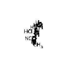 Cl.Cn1cc2cc(-c3cc4sc(N[C@@H]5C[C@H]6CC[C@@H](C5)N6)nc4cn3)cc(C#N)c2n1